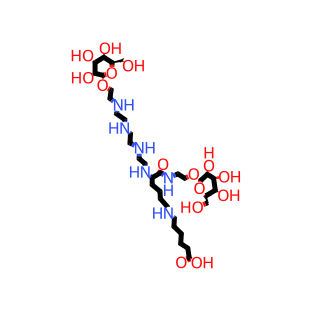 O=C(O)CCCCCNCCCCC(NCCNCCNCCNCCO[C@H]1O[C@H](CO)[C@@H](O)[C@H](O)[C@H]1O)C(=O)NCCO[C@H]1O[C@H](CO)[C@@H](O)[C@H](O)[C@@H]1O